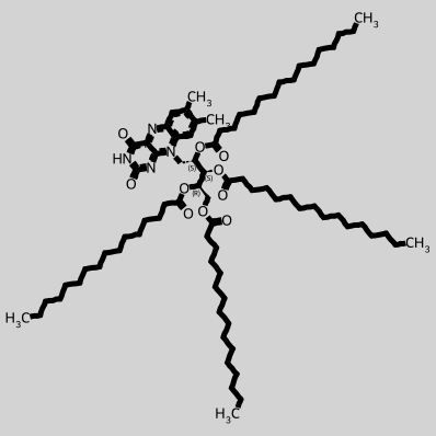 CCCCCCCCCCCCCCCC(=O)OC[C@@H](OC(=O)CCCCCCCCCCCCCCC)[C@@H](OC(=O)CCCCCCCCCCCCCCC)[C@H](Cn1c2nc(=O)[nH]c(=O)c-2nc2cc(C)c(C)cc21)OC(=O)CCCCCCCCCCCCCCC